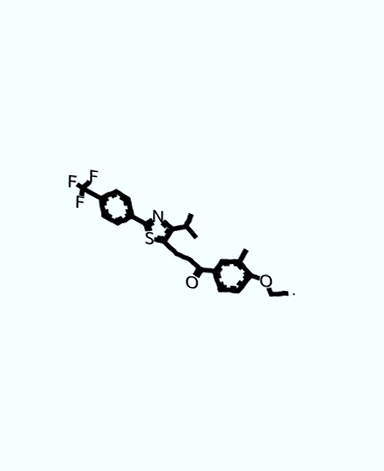 [CH2]COc1ccc(C(=O)CCc2sc(-c3ccc(C(F)(F)F)cc3)nc2C(C)C)cc1C